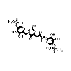 CC(=O)CSC(CC(=O)NC[C@H]1OC[C@@H](N=S(C)(C)=O)[C@@H](O)[C@H]1O)C(=O)NCC1OC[C@@H](N=S(C)(C)=O)[C@@H](O)[C@H]1O